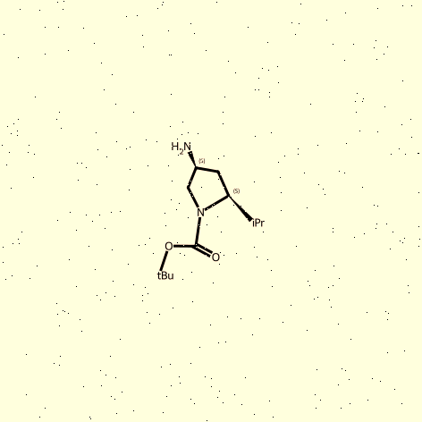 CC(C)[C@@H]1C[C@H](N)CN1C(=O)OC(C)(C)C